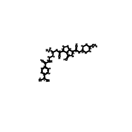 CCN(CC)c1ccc(C(=O)NCCC(C)CC(=O)N2CCC3C2C(=O)CN3C(=O)CN2CCN(C)CC2)cc1